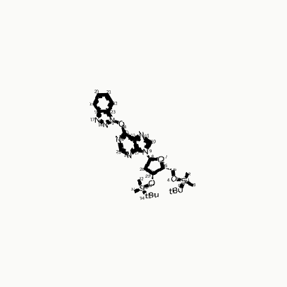 CC(C)(C)[Si](C)(C)OC[C@H]1O[C@@H](n2cnc3c(On4nnc5ccccc54)ncnc32)C[C@H]1O[Si](C)(C)C(C)(C)C